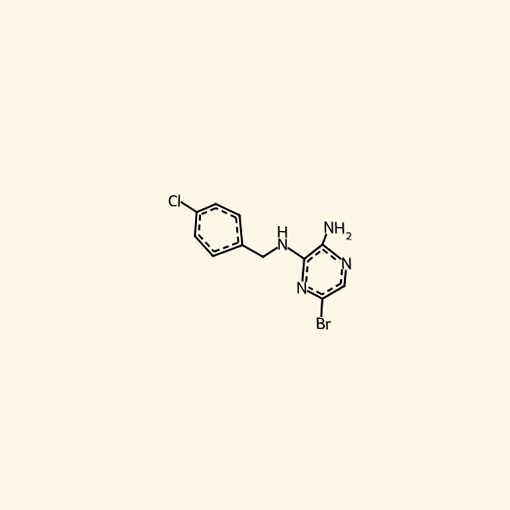 Nc1ncc(Br)nc1NCc1ccc(Cl)cc1